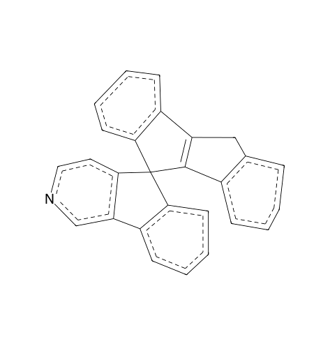 c1ccc2c(c1)CC1=C2C2(c3ccccc31)c1ccccc1-c1cnccc12